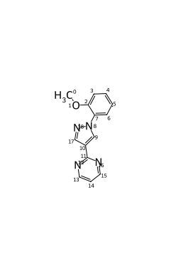 COc1cc[c]cc1-n1cc(-c2ncccn2)cn1